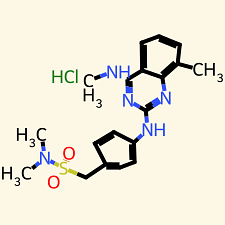 CNc1nc(Nc2ccc(CS(=O)(=O)N(C)C)cc2)nc2c(C)cccc12.Cl